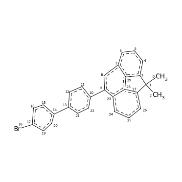 CC1(C)c2cccc3cc(-c4ccc(-c5ccc(Br)cc5)cc4)c4cccc1c4c23